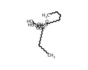 CCCCC/C=C\C/C=C\C/C=C\CCCCCCC(=O)OC[C@H](COP(=O)(O)OC[C@@H](O)CO)OC(=O)CCCCCCCCC/C=C\CCCCCCCC